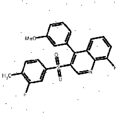 COc1cccc(-c2c(S(=O)(=O)c3ccc(C)c(F)c3)cnc3c(F)cccc23)c1